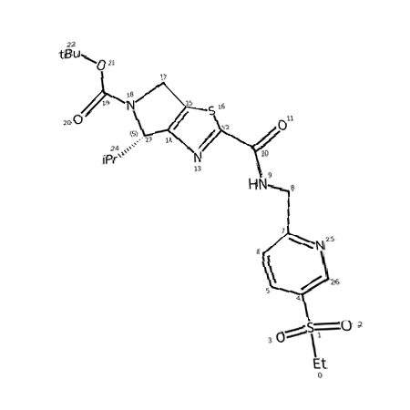 CCS(=O)(=O)c1ccc(CNC(=O)c2nc3c(s2)CN(C(=O)OC(C)(C)C)[C@H]3C(C)C)nc1